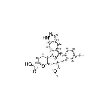 COCC(C)(C)c1c(C2CC[C@@H](C(=O)O)OC2)c2cc3[nH]ncc3cc2n1-c1ccc(F)cc1